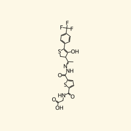 C/C(=N\NC(=O)c1ccc(C(=O)NCC(=O)O)s1)C1CSC(c2ccc(C(F)(F)F)cc2)=C1O